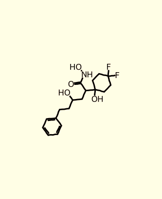 O=C(NO)C(CC(O)CCc1ccccc1)C1(O)CCC(F)(F)CC1